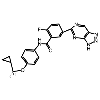 C[C@@H](Oc1ccc(NC(=O)c2cc(-c3ncc4nn[nH]c4n3)ccc2F)cc1)C1CC1